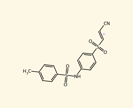 Cc1ccc(S(=O)(=O)Nc2ccc(S(=O)(=O)/C=C/C#N)cc2)cc1